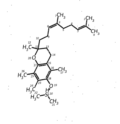 CC(C)=CCCC(C)=CCCC1(C)CCc2c(C)c(O[SiH](C)C)c(C)c(C)c2O1